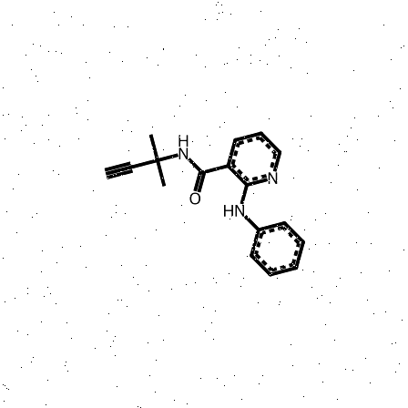 C#CC(C)(C)NC(=O)c1cccnc1Nc1ccccc1